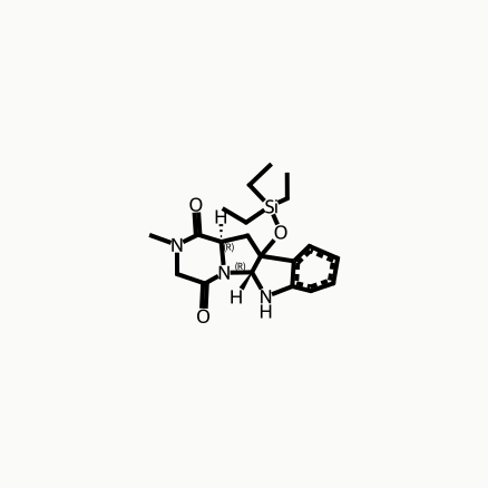 CC[Si](CC)(CC)OC12C[C@@H]3C(=O)N(C)CC(=O)N3[C@H]1Nc1ccccc12